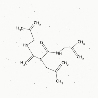 C=C(C)CNC(=C)N(CC(=C)C)C(=O)NCC(=C)C